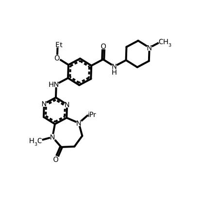 CCOc1cc(C(=O)NC2CCN(C)CC2)ccc1Nc1ncc2c(n1)N(C(C)C)CCC(=O)N2C